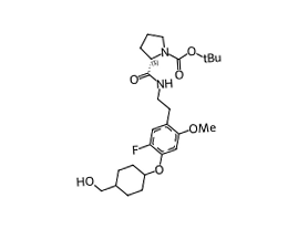 COc1cc(OC2CCC(CO)CC2)c(F)cc1CCNC(=O)[C@@H]1CCCN1C(=O)OC(C)(C)C